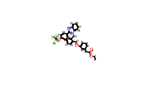 CCOC(=O)Cc1cccc(OCc2ccccc2Cn2c(-c3ccc(OC(F)(F)F)cc3)nc3ccccc32)c1